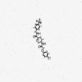 O=C(COc1ccc(Cl)cc1)N[C@H]1CC[C@H](C(=O)NCc2ccc(C(F)(F)F)nc2)OC1